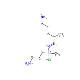 CC(CCCN)/N=N/C(C)(Cl)CCCN